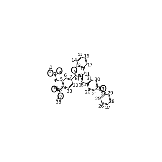 COC(=O)Cc1cc(C(=O)N(Cc2ccccc2)Cc2ccc(Oc3ccccc3)cc2)ccc1C(=O)OC